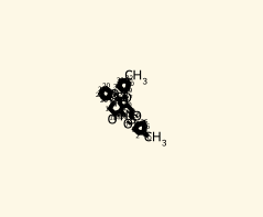 Cc1ccc(S(=O)(=O)N2CC[C@H]3[C@@H](C2)C(=O)C[C@@H](c2ccccc2)N3S(=O)(=O)c2ccc(C)cc2)cc1